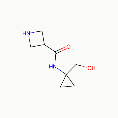 O=C(NC1(CO)CC1)C1CNC1